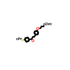 CCCCCCCCCCCCCOc1ccc(C=CC(=O)c2ccc(SCCC)cc2)cc1